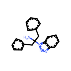 NC(Cc1ccccc1)(Cc1ccccc1)n1nnc2ccccc21